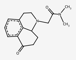 CN(C)C(=O)CN1CCc2cccc3c2C1CCC3=O